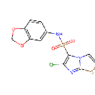 O=S(=O)(Nc1ccc2c(c1)OCO2)c1c(Cl)nc2sccn12